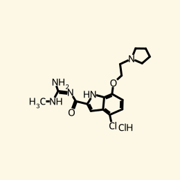 CNC(N)=NC(=O)c1cc2c(Cl)ccc(OCCN3CCCC3)c2[nH]1.Cl